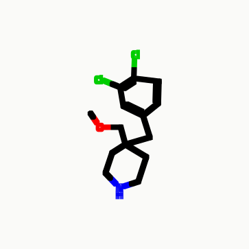 COCC1(Cc2ccc(Cl)c(Cl)c2)CCNCC1